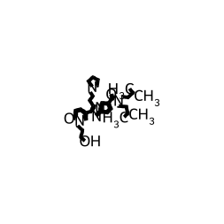 CC(C)CCN(CCC(C)C)C(=O)c1ccc2nc(-c3ccc(=O)n(CCCO)c3)c(CCCN3CCCC3)n2c1